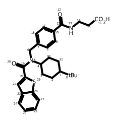 CC(C)(C)C1CCC(N(Cc2ccc(C(=O)NCCC(=O)O)cc2)C(=O)c2cc3ccccc3s2)CC1